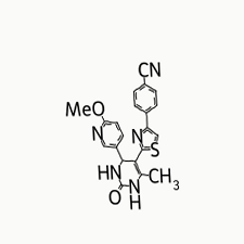 COc1ccc(C2NC(=O)NC(C)=C2c2nc(-c3ccc(C#N)cc3)cs2)cn1